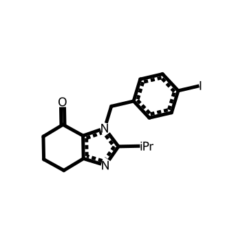 CC(C)c1nc2c(n1Cc1ccc(I)cc1)C(=O)CCC2